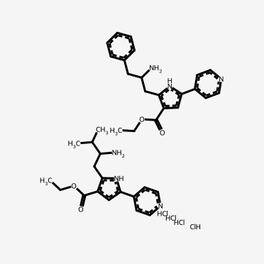 CCOC(=O)c1cc(-c2ccncc2)[nH]c1CC(N)C(C)C.CCOC(=O)c1cc(-c2ccncc2)[nH]c1CC(N)Cc1ccccc1.Cl.Cl.Cl.Cl